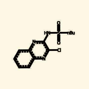 CCCCS(=O)(=O)Nc1nc2ccccc2nc1Cl